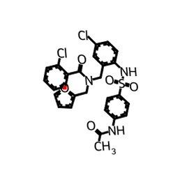 CC(=O)Nc1ccc(S(=O)(=O)Nc2ccc(Cl)cc2CN(Cc2ccco2)C(=O)c2ccccc2Cl)cc1